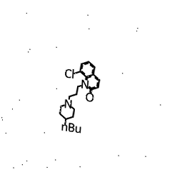 CCCCC1CCN(CCCn2c(=O)ccc3cccc(Cl)c32)CC1